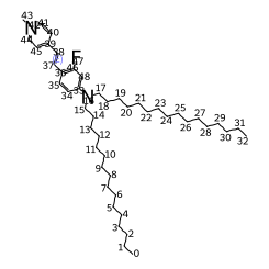 CCCCCCCCCCCCCCCCN(CCCCCCCCCCCCCCCC)c1ccc(/C=C/c2cc[n+](C)cc2)c(F)c1